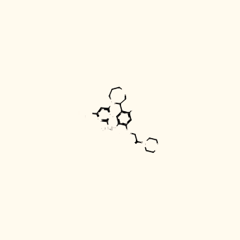 COc1cc(C2COCCCN2c2cc(C)nc(N)n2)c(Cl)cc1OCC(=O)N1CCOCC1